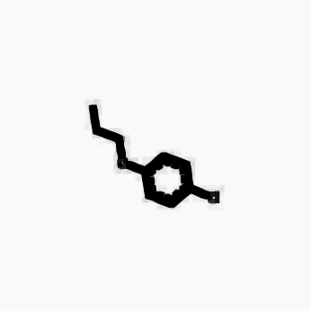 CC[CH]Oc1ccc(Cl)cc1